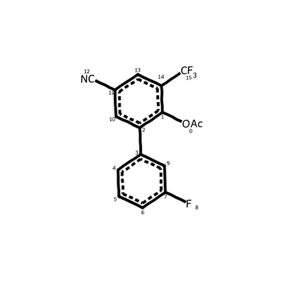 CC(=O)Oc1c(-c2cccc(F)c2)cc(C#N)cc1C(F)(F)F